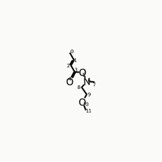 CC=CC(=O)ON(C)CCOC